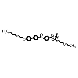 CCCCCCCCCOc1ccc(-c2ccc(C(=O)Oc3ccc(C(=O)OC(CCCCOCCC)C(F)(F)F)cc3)cc2)cc1